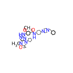 COc1cc(C(=O)N[C@H]2CC[C@H](N3CCN(Cc4ccccc4)CC3)CC2)ccc1Nc1ncc2c(n1)N(C1CCCC1)CC1(CC1)C(=O)N2C